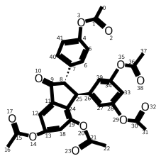 CC(=O)Oc1ccc([C@H]2C(=O)c3cc(OC(C)=O)cc(OC(C)=O)c3[C@@H]2c2cc(OC(C)=O)cc(OC(C)=O)c2)cc1